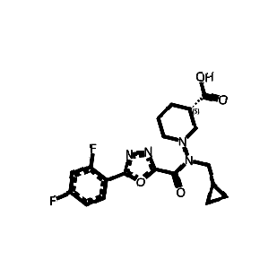 O=C(O)[C@H]1CCCN(N(CC2CC2)C(=O)c2nnc(-c3ccc(F)cc3F)o2)C1